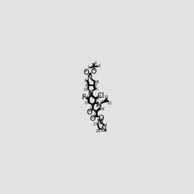 CC(C)(C)OC(=O)N1C=C2CN(c3c(F)cc4c(=O)c(C(=O)ON5C=NCC5)cn(C5CC5)c4c3Cl)C=C2C1